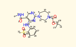 CNC(=O)c1cnc(N2CCCN(C(=O)OC(C)(C)C)CC2)nc1Nc1ccccc1S(C)(=O)=O